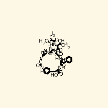 CN[C@@H](C)C(=O)N[C@H](C(=O)N1C[C@@H]2C[C@H]1C(=O)N[C@@H](Cc1ccccc1)C(=O)N[C@@H](C(=O)O)Cc1ccc(cc1)NC(=O)CCc1cn2nn1)C(C)C